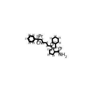 CC(C)[C@@](C#N)(CCCCC(=O)[N@@+]1(CC2CCCCC2)CCCC1C(N)=O)c1ccccc1